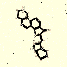 COc1ccc2c(c1/C=C\C1CCNCC1)O/C(=C\c1n[nH]c3ccccc13)C2=O